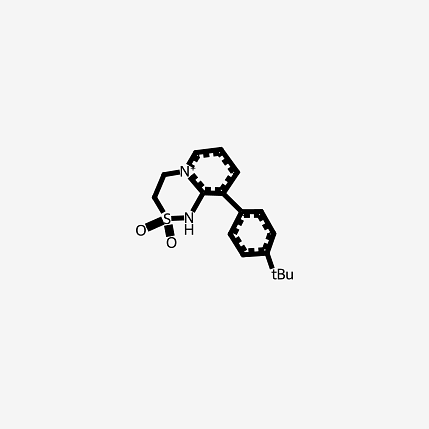 CC(C)(C)c1ccc(-c2ccc[n+]3c2NS(=O)(=O)CC3)cc1